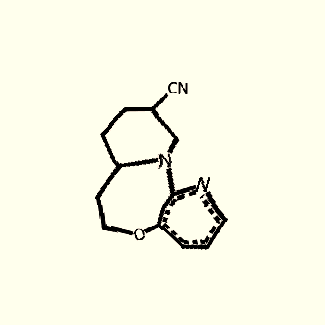 N#CC1CCC2CCOc3cccnc3N2C1